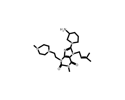 CC(C)=CCn1c(N2CCCC(N)C2)nc2c1c(=O)n(C)c(=O)n2CCN1CCN(C)CC1